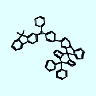 CC1(C)c2ccccc2-c2ccc(N(c3ccccc3)c3ccc(-c4ccc5c(c4)C4(c6ccccc6-5)c5ccccc5C(c5ccccc5)(c5ccccc5)c5ccccc54)cc3)cc21